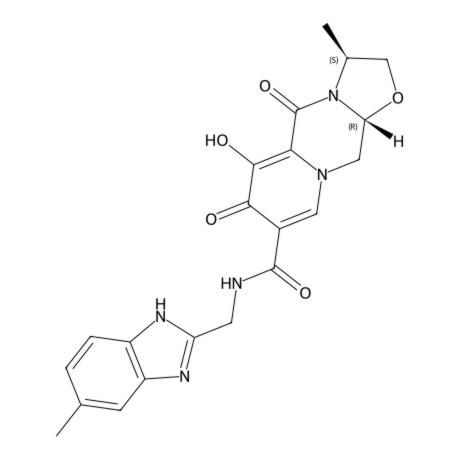 Cc1ccc2[nH]c(CNC(=O)c3cn4c(c(O)c3=O)C(=O)N3[C@@H](C)CO[C@@H]3C4)nc2c1